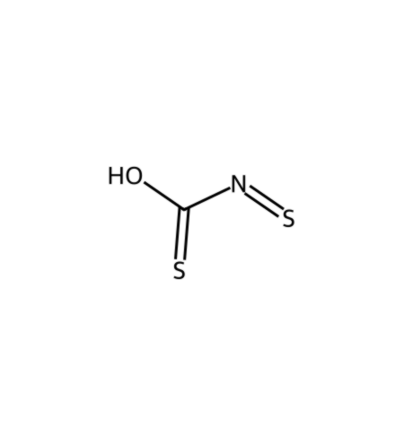 OC(=S)N=S